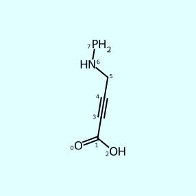 O=C(O)C#CCNP